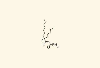 BC(=O)CC(=O)C(C)(CCCCC)CCCCCCC